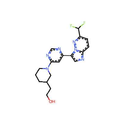 OCCC1CCCN(c2cc(-c3cnc4ccc(C(F)F)nn34)ncn2)C1